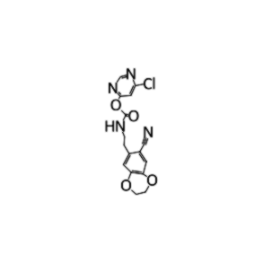 N#Cc1cc2c(cc1CCNC(=O)Oc1cc(Cl)ncn1)OCCO2